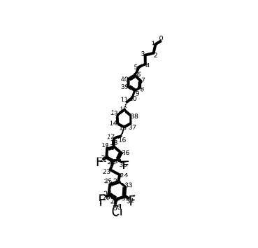 CCCCCCc1ccc(CC[C@H]2CC[C@H](CCc3cc(F)c(CCc4cc(F)c(Cl)c(F)c4)c(F)c3)CC2)cc1